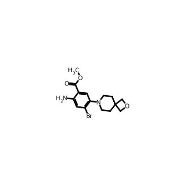 COC(=O)c1cc(N2CCC3(CC2)COC3)c(Br)cc1N